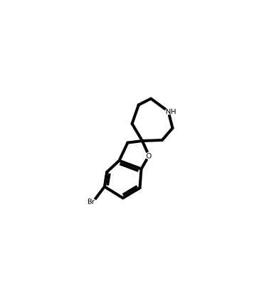 Brc1ccc2c(c1)CC1(CCCNCC1)O2